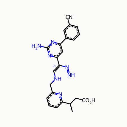 CC(CC(=O)O)c1cccc(CN/C=C(\N=N)c2cc(-c3cccc(C#N)c3)nc(N)n2)n1